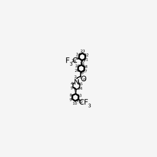 O=C(CN1CC=C(c2cccc(C(F)(F)F)c2)CC1)c1ccc(-c2ccccc2C(F)(F)F)cc1